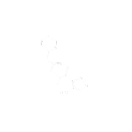 Nc1c[nH]nc1-c1ccc(Oc2ccccc2)cc1F